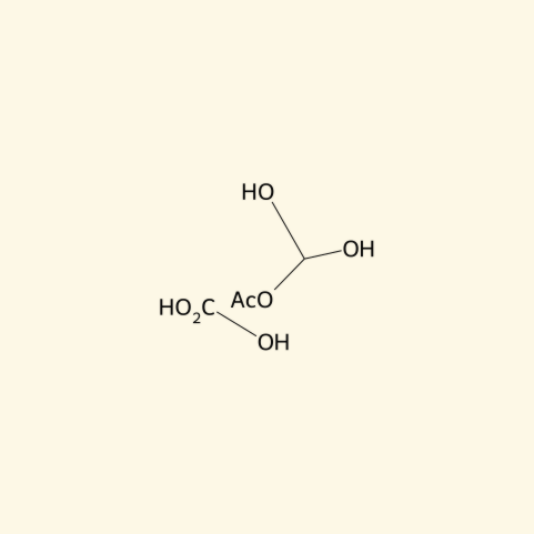 CC(=O)OC(O)O.O=C(O)O